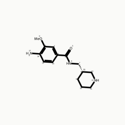 COc1cc(C(=O)NC[C@H]2CCCNC2)ccc1N